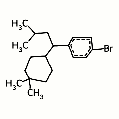 CC(C)CC(c1ccc(Br)cc1)C1CCC(C)(C)CC1